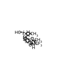 C#CCOc1ccc(C)cc1-c1nsc2ccc(-n3c(=O)[nH]c(C(F)(F)F)c(C)c3=O)cc12